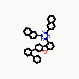 C1=CC2c3c(cccc3-c3nc(-c4ccc5ccccc5c4)nc(-c4ccc5ccccc5c4)n3)OC2C=C1c1ccccc1-c1ccccc1